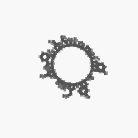 CCCC[C@@H]1NC(=O)[C@H](Cc2cccc(Br)c2)NC(=O)CN(C)C(=O)[C@H](Cc2ccc(Cl)cc2)N(C)C(=O)[C@@H]2CCN2C(=O)[C@H](C)N(C)C(=O)[C@H]([C@@H](C)CC)NC(=O)[C@H](CC(C)C)N(C)C(=O)C[C@@H](C(=O)N2CCCCC2)N(C)C(=O)[C@H](CC(C)C)NC(=O)C(C)(C)N(C)C1=O